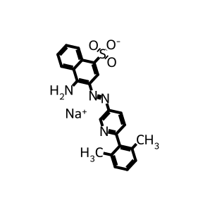 Cc1cccc(C)c1-c1ccc(N=Nc2cc(S(=O)(=O)[O-])c3ccccc3c2N)cn1.[Na+]